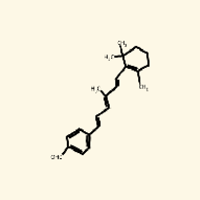 CC1=C(/C=C/C(C)=C/C=C/c2ccc(C=O)cc2)C(C)(C)CCC1